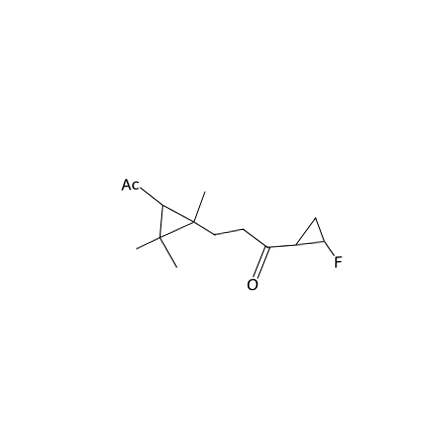 CC(=O)C1C(C)(C)C1(C)CCC(=O)C1CC1F